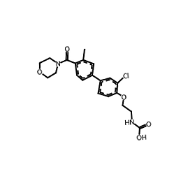 Cc1cc(-c2ccc(OCCNC(=O)O)c(Cl)c2)ccc1C(=O)N1CCOCC1